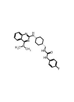 CN(C)c1nc(N[C@H]2CC[C@@H](CNC(=O)Nc3ccc(F)cc3)CC2)nc2ccccc12